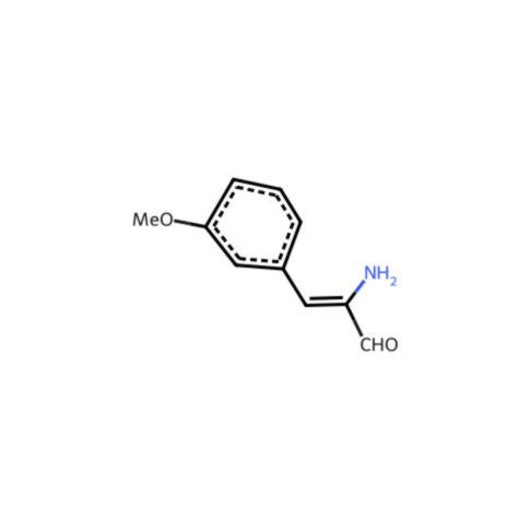 COc1cccc(/C=C(\N)C=O)c1